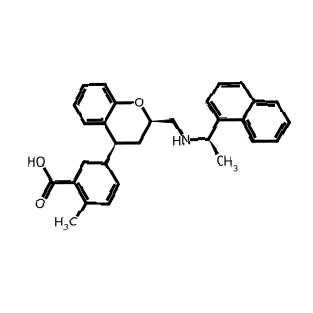 CC1=C(C(=O)O)CC([C@@H]2C[C@H](CN[C@H](C)c3cccc4ccccc34)Oc3ccccc32)C=C1